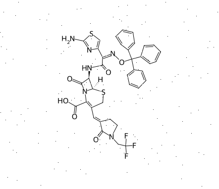 Nc1nc(/C(=N/OC(c2ccccc2)(c2ccccc2)c2ccccc2)C(=O)N[C@@H]2C(=O)N3C(C(=O)O)=C(C=C4CCN(CC(F)(F)F)C4=O)CS[C@H]23)cs1